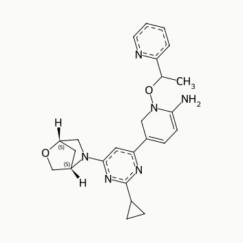 CC(ON1CC(c2cc(N3C[C@@H]4C[C@H]3CO4)nc(C3CC3)n2)=CC=C1N)c1ccccn1